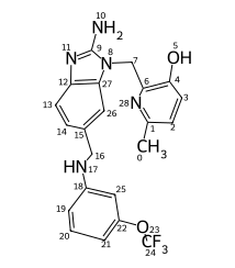 Cc1ccc(O)c(Cn2c(N)nc3ccc(CNc4cccc(OC(F)(F)F)c4)cc32)n1